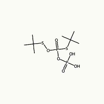 CC(C)(C)SOP(=O)(OP(=O)(O)O)SC(C)(C)C